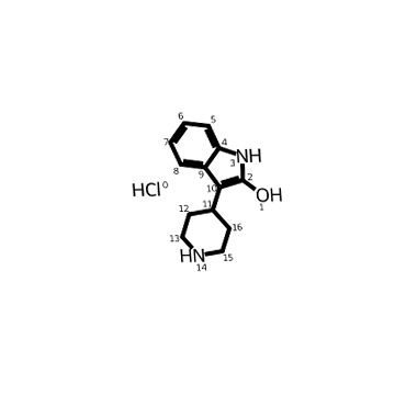 Cl.Oc1[nH]c2ccccc2c1C1CCNCC1